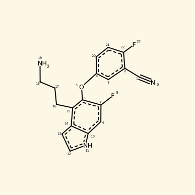 N#Cc1cc(Oc2c(F)cc3[nH]ccc3c2CCCN)ccc1F